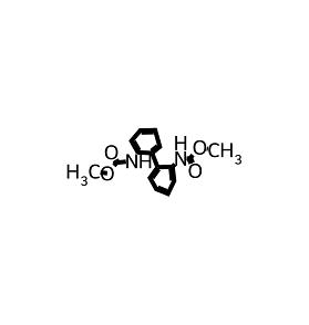 COC(=O)Nc1ccccc1-c1ccccc1NC(=O)OC